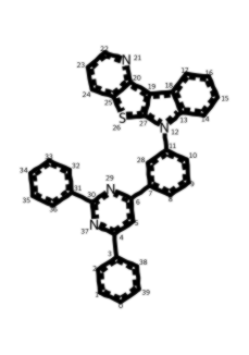 c1ccc(-c2cc(-c3cccc(-n4c5ccccc5c5c6ncccc6sc54)c3)nc(-c3ccccc3)n2)cc1